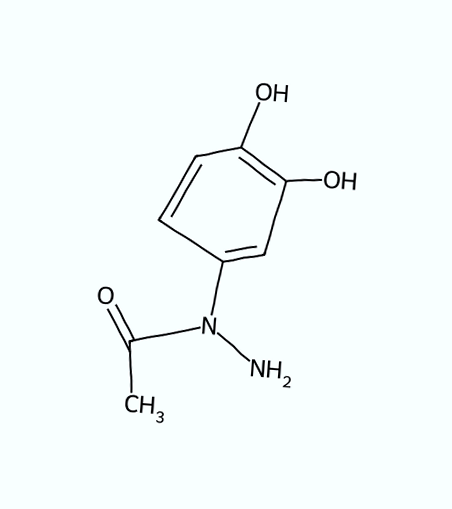 CC(=O)N(N)c1ccc(O)c(O)c1